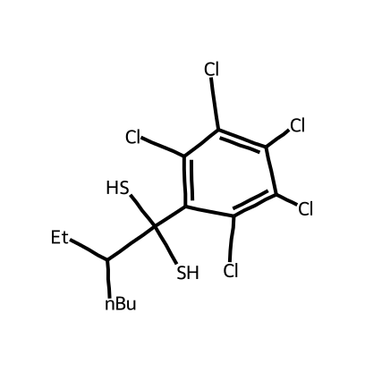 CCCCC(CC)C(S)(S)c1c(Cl)c(Cl)c(Cl)c(Cl)c1Cl